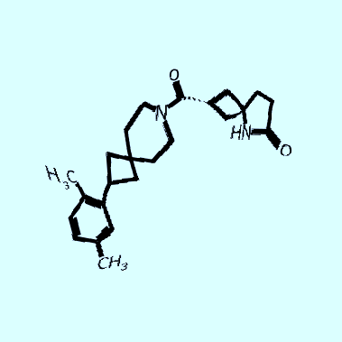 Cc1ccc(C)c(C2CC3(CCN(C(=O)[C@H]4C[C@]5(CCC(=O)N5)C4)CC3)C2)c1